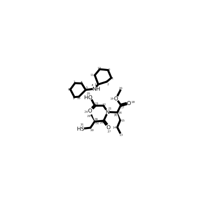 C1CCC(NC2CCCCC2)CC1.CCC[C@H](C(=O)OC)N(CC(=O)O)C(=O)[C@H](C)CS